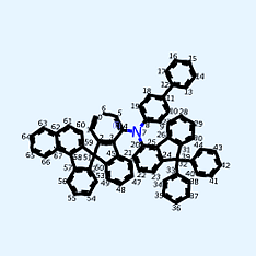 C=CC1=C(/C(=C\C)N(c2ccc(-c3ccccc3)cc2)c2cccc3c2-c2ccccc2C3(c2ccccc2)c2ccccc2)c2ccccc2C12c1ccccc1-c1c2ccc2ccccc12